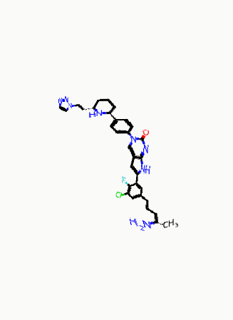 C[C@H](N)CCCc1cc(Cl)c(F)c(-c2cc3cn(-c4ccc([C@@H]5CCC[C@@H](CCn6ccnn6)N5)cc4)c(=O)nc3[nH]2)c1